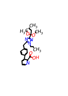 CCCn1nc(C(CCC)(OC)OC)nc1Cc1ccc(-c2cccnc2C(=O)O)cc1